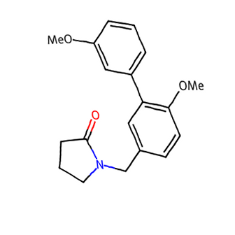 COc1cccc(-c2cc(CN3CCCC3=O)ccc2OC)c1